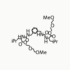 COCCOCCOC(=O)C(CC(C)C)NC(=O)NCc1cccc(CNC(=O)NC(CC(C)C)C(=O)OCCOCCOC)c1